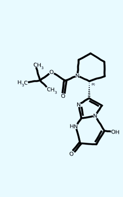 CC(C)(C)OC(=O)N1CCCC[C@@H]1c1cn2c(O)cc(=O)[nH]c2n1